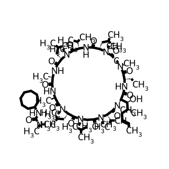 C/C=C/C[C@@H](C)[C@@H](O)[C@H]1C(=O)N[C@@H](CC)C(=O)N(C)CC(=O)N(C)[C@@H](CC(C)C)C(=O)N[C@@H](C(C)C)C(=O)N(C)[C@@H](CC(C)C)C(=O)N[C@@H](C)C(=O)N[C@H](C)C(=O)N(C)[C@@H](CC(C)C)C(=O)N(C)[C@@H](CC(C)C)C(=O)N(C)[C@@H](C(C)C)C(=O)N1C.CN(C)C(=O)NC1CCCCCCC1